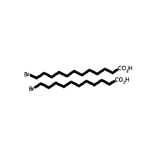 O=C(O)CCCCCCCCCCBr.O=C(O)CCCCCCCCCCCBr